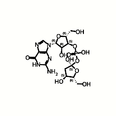 Nc1nc2c(ncn2[C@@H]2O[C@H](CO)[C@@H](OP(=O)(O)O[C@]3(O)C[C@H](O)[C@@H](CO)O3)[C@H]2O)c(=O)[nH]1